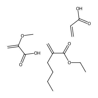 C=C(CCCC)C(=O)OCC.C=C(OC)C(=O)O.C=CC(=O)O